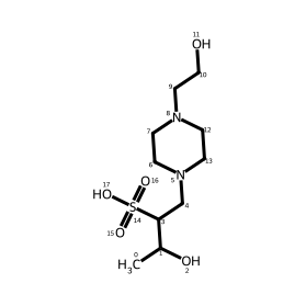 CC(O)C(CN1CCN(CCO)CC1)S(=O)(=O)O